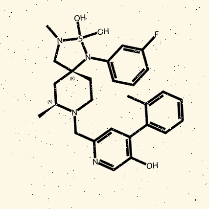 Cc1ccccc1-c1cc(CN2CC[C@@]3(C[C@@H]2C)CN(C)S(O)(O)N3c2cccc(F)c2)ncc1O